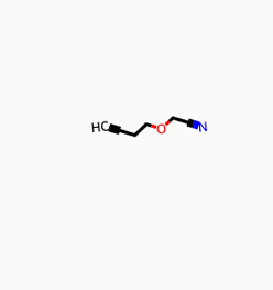 C#CCCOCC#N